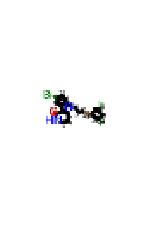 O=C1NCCCc2c1c1cc(Br)ccc1n2CCCSc1cc(F)cc(F)c1